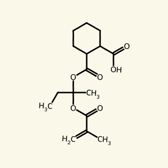 C=C(C)C(=O)OC(C)(CC)OC(=O)C1CCCCC1C(=O)O